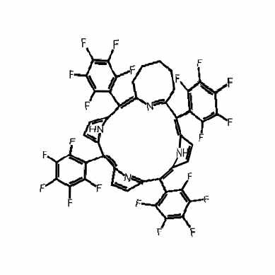 Fc1c(F)c(F)c(-c2c3nc(c(-c4c(F)c(F)c(F)c(F)c4F)c4ccc([nH]4)c(-c4c(F)c(F)c(F)c(F)c4F)c4nc(c(-c5c(F)c(F)c(F)c(F)c5F)c5ccc2[nH]5)CCCCC4)C=C3)c(F)c1F